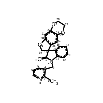 O=C1N(Cc2cccnc2C(F)(F)F)c2ccccc2C12COc1cc3c(cc12)OCCO3